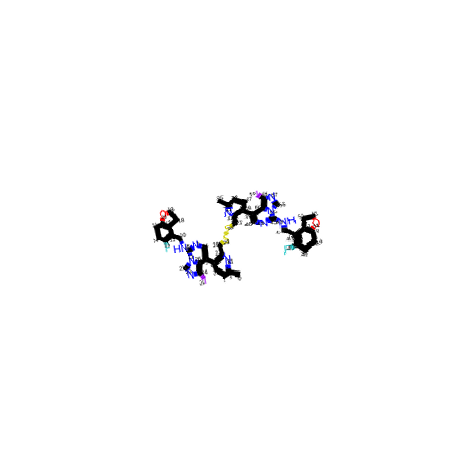 Cc1ccc(-c2cnc(NCc3c(F)ccc4c3CCO4)n3cnc(I)c23)c(CSSCc2nc(C)ccc2-c2cnc(NCc3c(F)ccc4c3CCO4)n3cnc(I)c23)n1